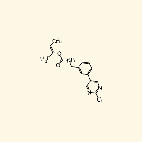 C/C=C(/C)OC(=O)NCc1cccc(-c2cnc(Cl)nc2)c1